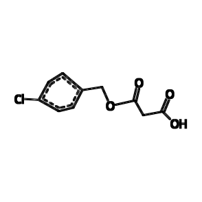 O=C(O)CC(=O)OCc1ccc(Cl)cc1